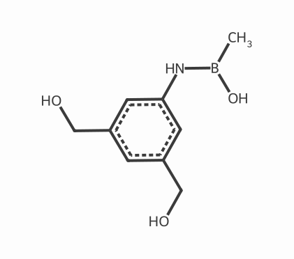 CB(O)Nc1cc(CO)cc(CO)c1